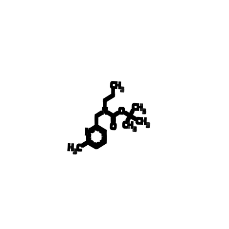 CCCN(Cc1cccc(C)n1)C(=O)OC(C)(C)C